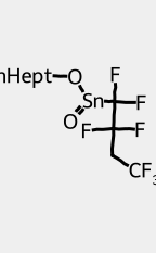 CCCCCCC[O][Sn](=[O])[C](F)(F)C(F)(F)CC(F)(F)F